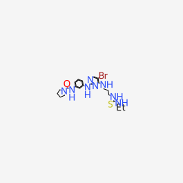 CCNC(=S)NCCCNc1nc(Nc2cccc(NC(=O)N3CCCC3)c2)ncc1Br